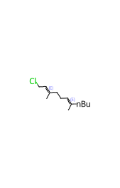 CCCC/C(C)=C/CC/C(C)=C/CCl